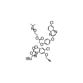 C#CCOc1cc(-n2nc(C(C)(C)C)oc2=O)c(Cl)cc1Cl.CC(C)=NOCCOC(=O)[C@@H](C)Oc1ccc(Oc2cnc3cc(Cl)ccc3n2)cc1